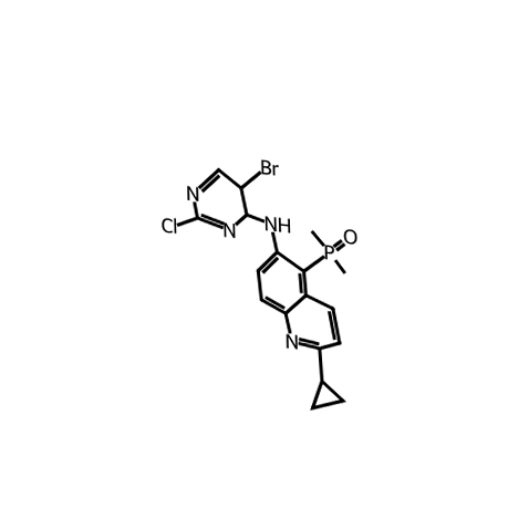 CP(C)(=O)c1c(NC2N=C(Cl)N=CC2Br)ccc2nc(C3CC3)ccc12